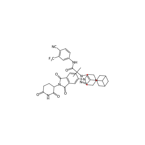 CC(C)(C(=O)Nc1ccc(C#N)c(C(F)(F)F)c1)n1cc(N2CC3CC(C2)C3N2CCN(c3ccc4c(c3)C(=O)N(C3CCC(=O)NC3=O)C4=O)CC2)cn1